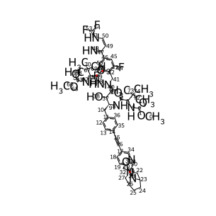 COC(=O)NC(C(=O)N[C@@H](Cc1ccc(C#Cc2ccc(N3CC4CCC(C3)N4C3COC3)nc2)cc1)[C@@H](O)CN(Cc1c(F)cc(C(=N)/C=C\NC(F)F)cc1F)NC(=O)[C@@H](NC(=O)OC)C(C)(C)C)C(C)(C)C